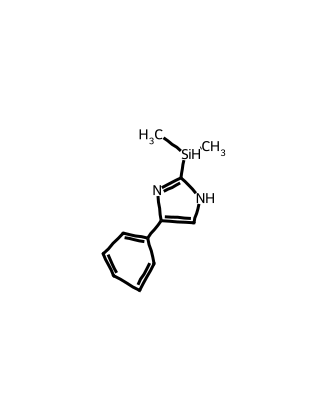 C[SiH](C)c1nc(-c2ccccc2)c[nH]1